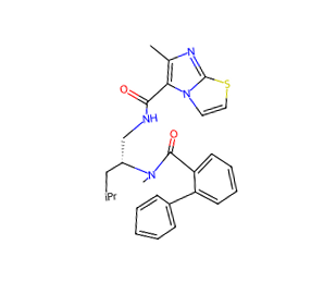 Cc1nc2sccn2c1C(=O)NC[C@@H](CC(C)C)N(C)C(=O)c1ccccc1-c1ccccc1